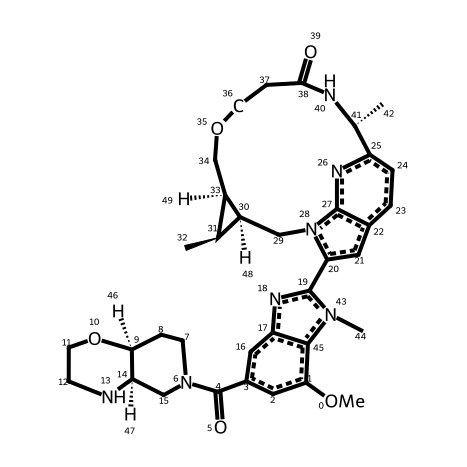 COc1cc(C(=O)N2CC[C@@H]3OCCN[C@@H]3C2)cc2nc(-c3cc4ccc5nc4n3C[C@H]3[C@@H](C)[C@H]3COCCC(=O)N[C@@H]5C)n(C)c12